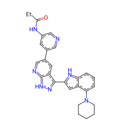 CCC(=O)Nc1cncc(-c2cnc3[nH]nc(-c4cc5c(N6CCCCC6)cccc5[nH]4)c3c2)c1